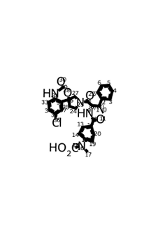 C[C@H](c1ccccc1)[C@H](NC(=O)c1ccc(N(C)C(=O)O)cc1)C(=O)N1CCC2(C1)OC(=O)Nc1ccc(Cl)cc12